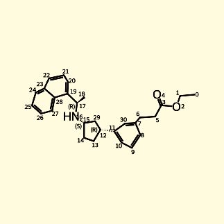 CCOC(=O)CCc1cccc([C@@H]2CC[C@H](N[C@H](C)c3cccc4ccccc34)C2)c1